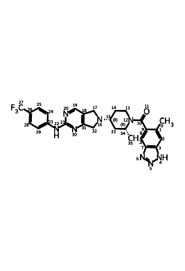 Cc1cc2[nH]nnc2cc1C(=O)N1CC[C@@H](N2Cc3cnc(Nc4ccc(C(F)(F)F)cc4)nc3C2)C[C@H]1C